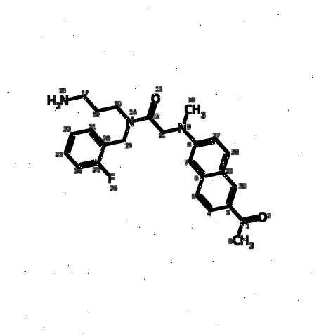 CC(=O)c1ccc2cc(N(C)CC(=O)N(CCCN)Cc3ccccc3F)ccc2c1